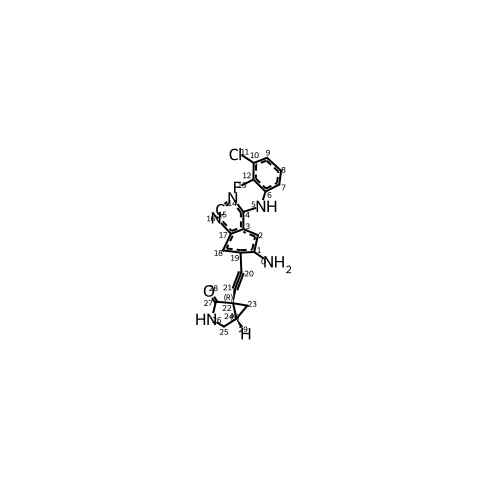 Nc1cc2c(Nc3cccc(Cl)c3F)ncnc2cc1C#C[C@@]12C[C@@H]1CNC2=O